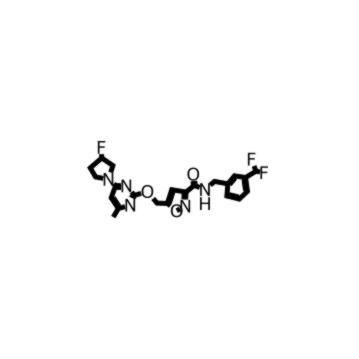 Cc1cc(N2CCC(F)C2)nc(OCc2cc(C(=O)NCc3cccc(C(F)F)c3)no2)n1